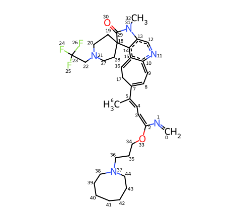 C=N/C(=C\C=C(/C)C1=CC=c2ncc3c(c2=CC1)C1(CCN(CC(F)(F)F)CC1)C(=O)N3C)OCCCN1CCCCCCC1